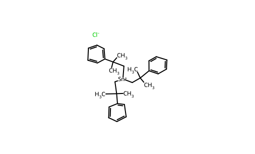 CC(C)([CH2][Sn+]([CH2]C(C)(C)c1ccccc1)[CH2]C(C)(C)c1ccccc1)c1ccccc1.[Cl-]